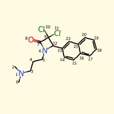 CN(C)CCCN1C(=O)C(Cl)(Cl)C1c1ccc2ccccc2c1